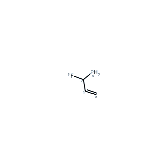 C=CC(F)P